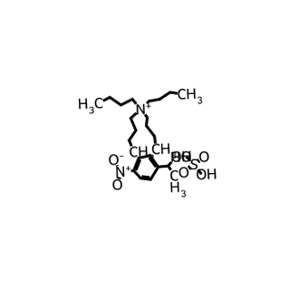 CC(O)c1ccc([N+](=O)[O-])cc1.CCCC[N+](CCCC)(CCCC)CCCC.O=S(=O)(O)O